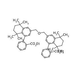 CCOC(=O)c1ccccc1-c1cc(COCc2cc(-c3ccccc3C(=O)OCC)c3c(c2)C(C)(C)CCC3(C)C)cc2c1C(C)(C)CCC2(C)C